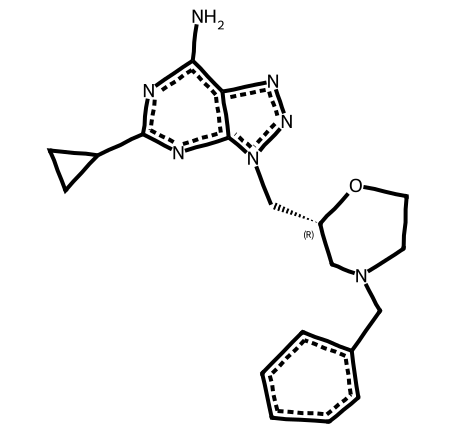 Nc1nc(C2CC2)nc2c1nnn2C[C@H]1CN(Cc2ccccc2)CCO1